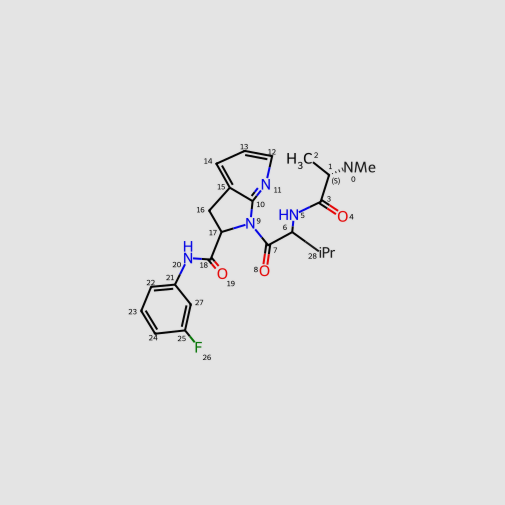 CN[C@@H](C)C(=O)NC(C(=O)N1c2ncccc2CC1C(=O)Nc1cccc(F)c1)C(C)C